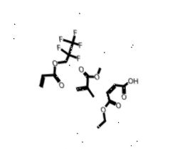 C=C(C)C(=O)OC.C=CC(=O)OCC(F)(F)C(F)(F)F.CCOC(=O)/C=C\C(=O)O